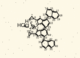 C[Si](C)=[Zr]([CH]1C(C2CC2)=Cc2c(-c3cccc4ccccc34)cccc21)[CH]1C(C2CC2)=Cc2c(-c3cccc4ccccc34)cccc21.Cl.Cl